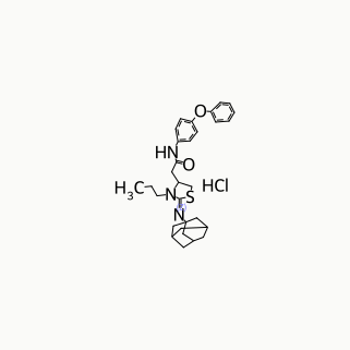 CCCN1/C(=N/C23CC4CC(CC(C4)C2)C3)SCC1CC(=O)Nc1ccc(Oc2ccccc2)cc1.Cl